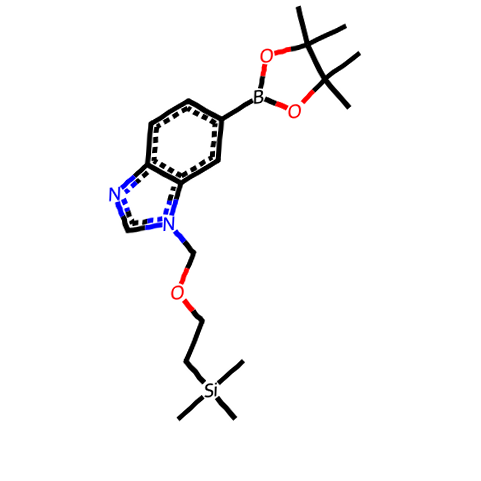 CC1(C)OB(c2ccc3ncn(COCC[Si](C)(C)C)c3c2)OC1(C)C